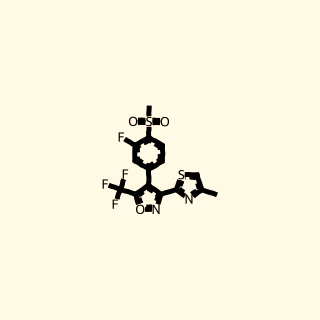 Cc1csc(-c2noc(C(F)(F)F)c2-c2ccc(S(C)(=O)=O)c(F)c2)n1